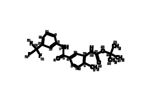 Cc1ncc(C(=O)Nc2cccc(C(F)(F)F)c2)cc1NC(=O)OC(C)(C)C